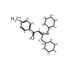 Cc1ccc(C(=O)C=C(SC2CCCCC2)SC2CCCCC2)cc1